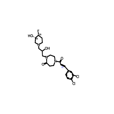 O=C(/C=C/c1ccc(Cl)c(Cl)c1)N1CCC(=O)N(CC(O)CN2CC[C@H](F)[C@@H](O)C2)CC1